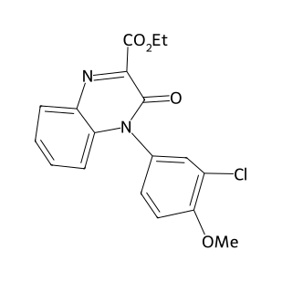 CCOC(=O)c1nc2ccccc2n(-c2ccc(OC)c(Cl)c2)c1=O